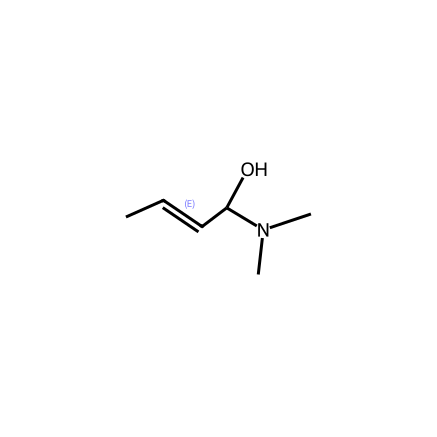 C/C=C/C(O)N(C)C